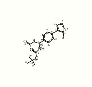 Cc1ncsc1-c1ccc([C@H](CC=O)NC(=O)OC(C)(C)C)cc1